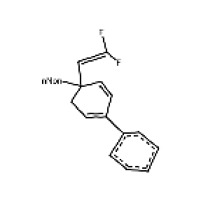 CCCCCCCCCC1(C=C(F)F)C=CC(c2ccccc2)=CC1